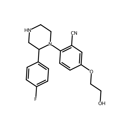 N#Cc1cc(OCCO)ccc1N1CCNCC1c1ccc(F)cc1